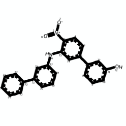 O=[N+]([O-])c1ccc(-c2cccc(O)c2)cc1Nc1cccc(-c2ccccc2)c1